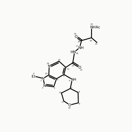 CCn1ncc2c(NC3CCOCC3)c(C(=O)NNC(=O)C(C)NC(C)=O)cnc21